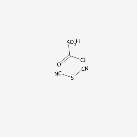 N#CSC#N.O=C(Cl)S(=O)(=O)O